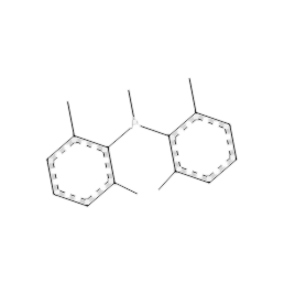 Cc1cccc(C)c1P(C)c1c(C)cccc1C